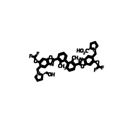 Cc1c(-c2nc3cc(CN4CCC[C@H]4CO)c(OC(F)F)cc3o2)cccc1-c1cccc(-c2nc3cc(CN4CCC[C@H]4C(=O)O)c(OC(F)F)cc3o2)c1C